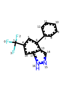 FC(F)(F)c1cc(-c2ccccc2)c2cn[nH]c2c1